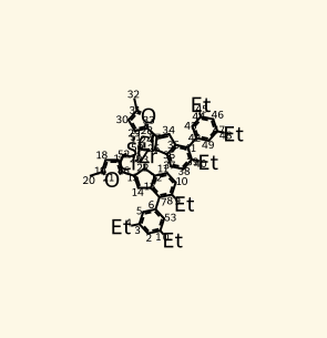 CCc1cc(CC)cc(-c2c(CC)ccc3c2C=C(c2ccc(C)o2)[CH]3[Zr]([Cl])([Cl])([CH]2C(c3ccc(C)o3)=Cc3c2ccc(CC)c3-c2cc(CC)cc(CC)c2)=[Si](C)C)c1